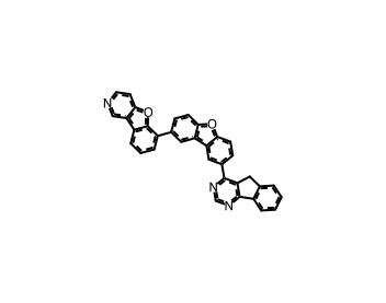 c1ccc2c(c1)Cc1c(-c3ccc4oc5ccc(-c6cccc7c6oc6ccncc67)cc5c4c3)ncnc1-2